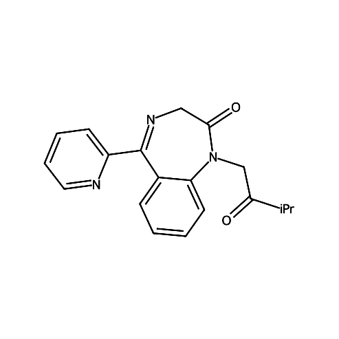 CC(C)C(=O)CN1C(=O)CN=C(c2ccccn2)c2ccccc21